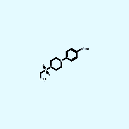 CCCCCc1ccc(N2CCN(S(=O)(=O)CC(=O)O)CC2)cc1